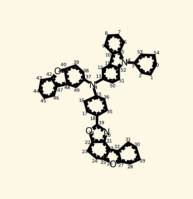 c1ccc(-n2c3ccccc3c3cc(N(c4ccc(-c5nc6c(ccc7oc8ccccc8c76)o5)cc4)c4ccc5oc6ccccc6c5c4)ccc32)cc1